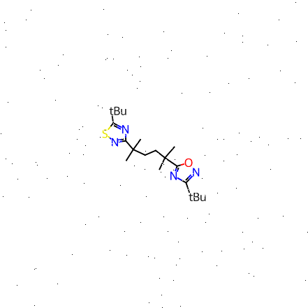 CC(C)(C)c1noc(C(C)(C)CCC(C)(C)c2nsc(C(C)(C)C)n2)n1